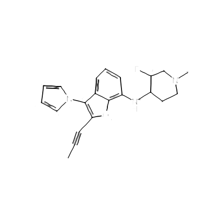 CC#Cc1oc2c(NC3CCN(C)CC3F)cccc2c1-n1cccc1